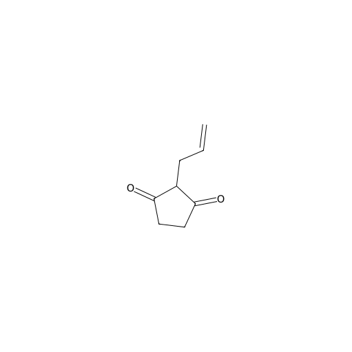 C=CCC1C(=O)CCC1=O